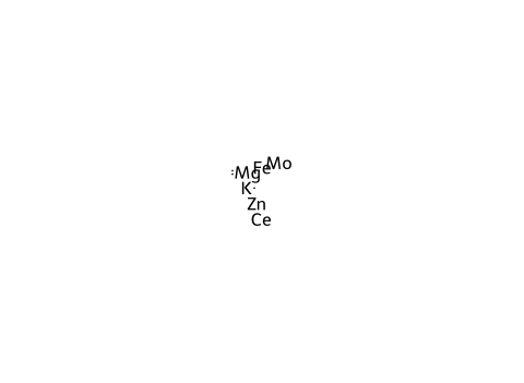 [Ce].[Fe].[K].[Mg].[Mo].[Zn]